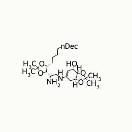 CCCCCCCCCCCCCC[C@H]1OC(C)(C)O[C@H]1C(N)CNC1=C[C@H](O)[C@@H]2OC(C)(C)O[C@H]2C1